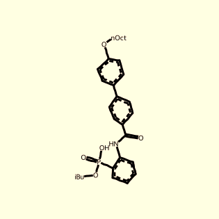 CCCCCCCCOc1ccc(-c2ccc(C(=O)Nc3ccccc3P(=O)(O)OC(C)CC)cc2)cc1